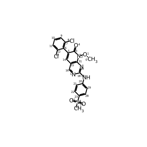 COn1c(=O)c(-c2c(Cl)cccc2Cl)cc2cnc(Nc3ccc(S(C)(=O)=O)cc3)nc21